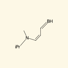 B=C/C=C\N(C)C(C)C